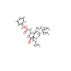 CCC[C@]12CC[C@@H](C(C)(C)C)C=C1C(CC(=O)OCc1ccccc1)OC2=O